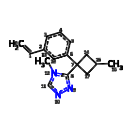 C=Cc1cccc(C2(c3nncn3C)CC(C)C2)c1